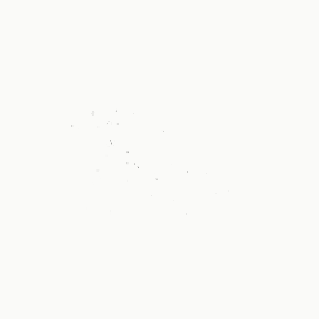 Cc1ccc2oc3c(c2c1)OC(=O)c1ccccc1N3c1ccccc1-c1ccccc1